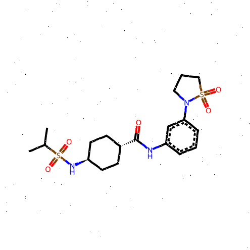 CC(C)S(=O)(=O)N[C@H]1CC[C@H](C(=O)Nc2cccc(N3CCCS3(=O)=O)c2)CC1